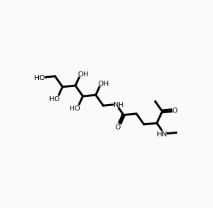 CNC(CCC(=O)NCC(O)C(O)C(O)C(O)CO)C(C)=O